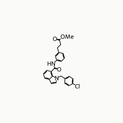 COC(=O)CCc1cccc(NC(=O)c2cccc3ccn(Cc4ccc(Cl)cc4)c23)c1